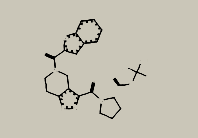 CC(C)(C)OC(=O)[C@@H]1CCCN1C(=O)c1[nH]nc2c1CN(C(=O)c1cc3ccccc3[nH]1)CC2